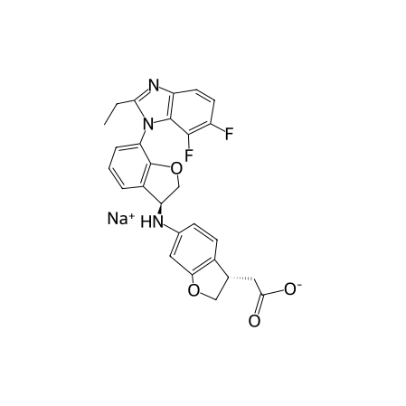 CCc1nc2ccc(F)c(F)c2n1-c1cccc2c1OC[C@H]2Nc1ccc2c(c1)OC[C@H]2CC(=O)[O-].[Na+]